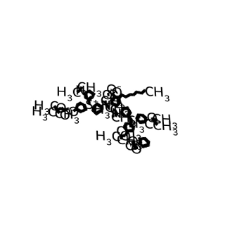 CCCCCCCCc1ccccc1S(=O)(=O)[O-].CN(C)c1cccc([S+](c2ccc(OC(C)(C)C)cc2)c2ccc(OC(C)(C)C)cc2)c1.CN(C)c1cccc([S+](c2ccc(OCC(=O)OC(C)(C)C)cc2)c2cccc(N(C)C)c2)c1.O=S(=O)([O-])c1ccccc1